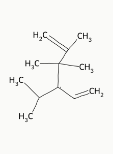 C=C[C](C(C)C)C(C)(C)C(=C)C